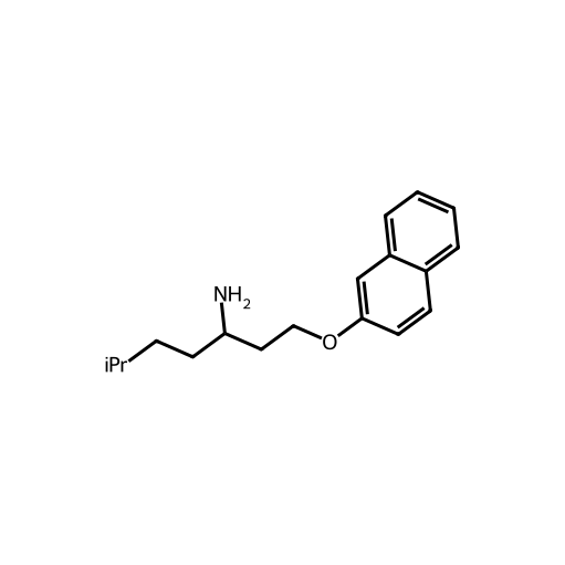 CC(C)CCC(N)CCOc1ccc2ccccc2c1